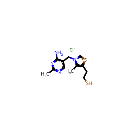 Cc1ncc(C[n+]2csc(CCS)c2C)c(N)n1.[Cl-]